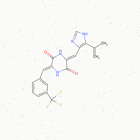 C=C(C)c1[nH]cnc1/C=c1\[nH]c(=O)/c(=C/c2cccc(C(F)(F)F)c2)[nH]c1=O